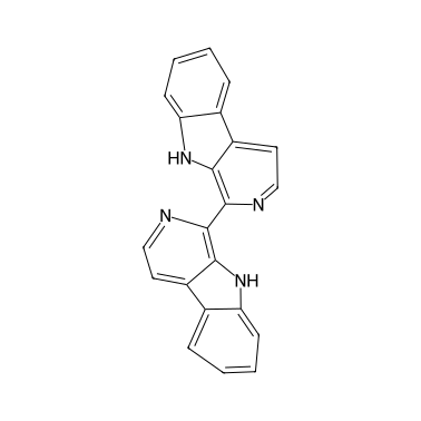 c1ccc2c(c1)[nH]c1c(-c3nccc4c3[nH]c3ccccc34)nccc12